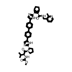 COC(=O)N[C@H](C(=O)N1CCC[C@H]1c1ncc(-c2ccc(-c3ccc(-c4cnc([C@@H]5C6CCC(C6)[C@H]5C(=O)NCc5cccnc5C)[nH]4)cc3)cc2)[nH]1)C(C)C